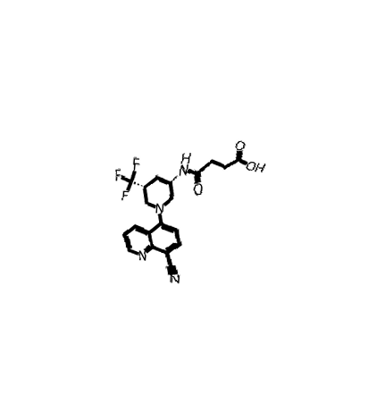 N#Cc1ccc(N2C[C@@H](NC(=O)CCC(=O)O)C[C@@H](C(F)(F)F)C2)c2cccnc12